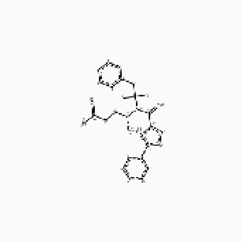 CC(C)(Cc1ccccc1)N(C(=O)c1ccc(-c2ccccc2)s1)[C@@H](CCC(N)=O)C(=O)O